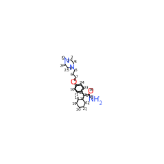 CN1CCN(CCCOc2ccc(C(C(N)=O)C3CCCCC3)cc2)CC1